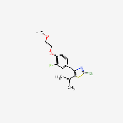 COCCOc1ccc(-c2nc(Cl)sc2C(C)C)cc1F